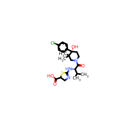 CC(C)[C@@H](NC1=NCC(C(=O)O)S1)C(=O)N1CC[C@](O)(c2ccc(Cl)cc2)C(C)(C)C1